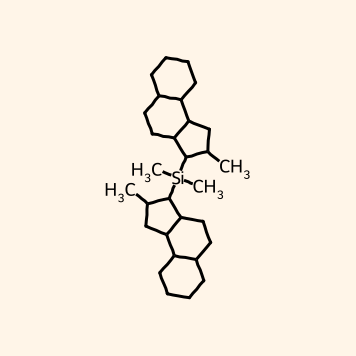 CC1CC2C3CCCCC3CCC2C1[Si](C)(C)C1C(C)CC2C3CCCCC3CCC21